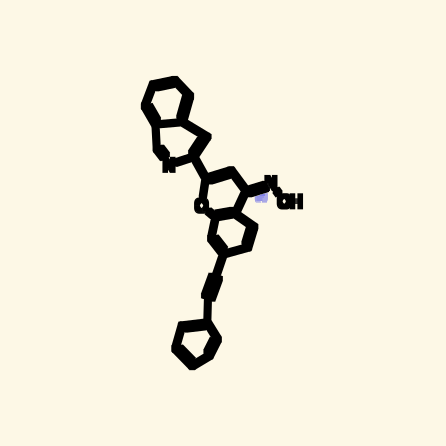 O/N=c1/cc(-c2cc3ccccc3cn2)oc2cc(C#Cc3ccccc3)ccc12